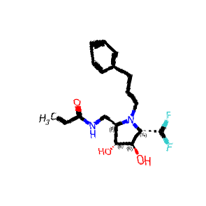 CCC(=O)NC[C@@H]1[C@@H](O)[C@H](O)[C@@H](C(F)F)N1CCCc1ccccc1